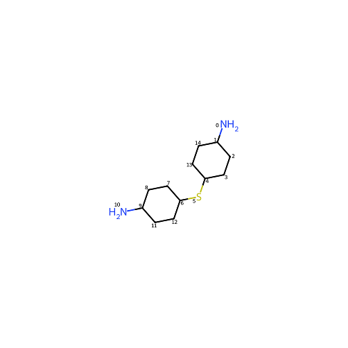 NC1CCC(SC2CCC(N)CC2)CC1